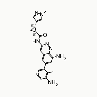 Cc1c(N)cncc1-c1cc(N)c2nnc(NC(=O)[C@H]3C[C@@H]3c3cnn(C)c3)cc2c1